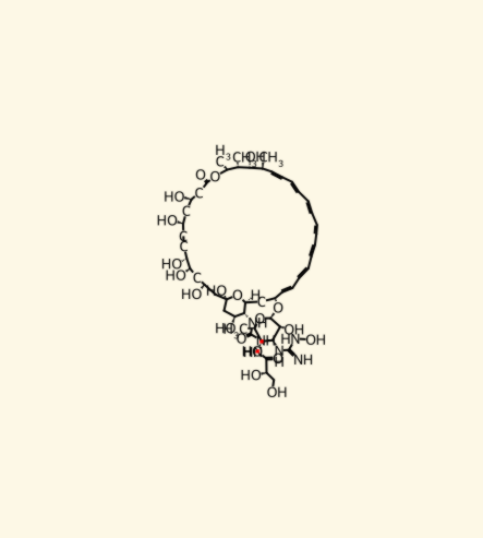 C[C@@H]1[C@H](O)[C@@H](C)/C=C/C=C/C=C/C=C/C=C/C=C/C=C/[C@H](O[C@@H]2O[C@H](C)[C@@H](O)[C@H](NC(=N)NO)[C@@H]2O)C[C@@H]2O[C@](O)(C[C@@H](O)C[C@@H](O)[C@H](O)CC[C@@H](O)C[C@@H](O)CC(=O)O[C@H]1C)C[C@H](O)[C@H]2NC(=O)NNC(=O)[C@H](O)CO